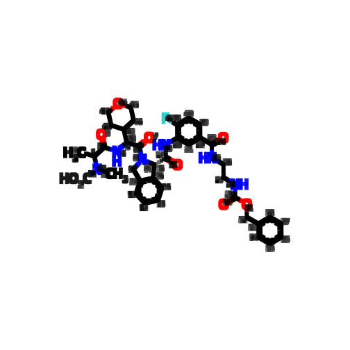 CC(C(=O)N[C@H](C(=O)N1Cc2ccccc2[C@H]1C(=O)Nc1cc(C(=O)NCCNC(=O)OCc2ccccc2)ccc1F)C1CCOCC1)N(C)C(=O)O